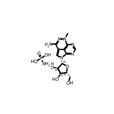 CN1N=C(N)c2cn([C@@H]3O[C@H](CO)[C@@H](O)[C@H]3O)c3ncnc1c23.NP(=O)(O)O